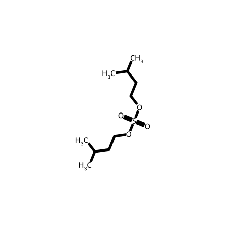 CC(C)CCOS(=O)(=O)OCCC(C)C